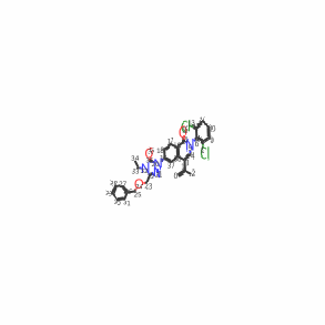 C=C(C)c1cn(-c2c(Cl)cccc2Cl)c(=O)c2ccc(-n3nc(COCc4ccccc4)n(CC)c3=O)cc12